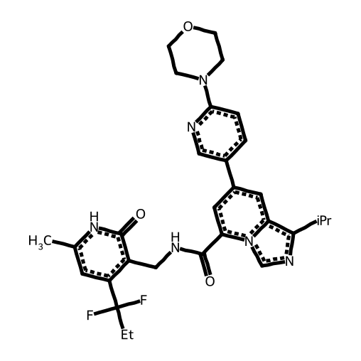 CCC(F)(F)c1cc(C)[nH]c(=O)c1CNC(=O)c1cc(-c2ccc(N3CCOCC3)nc2)cc2c(C(C)C)ncn12